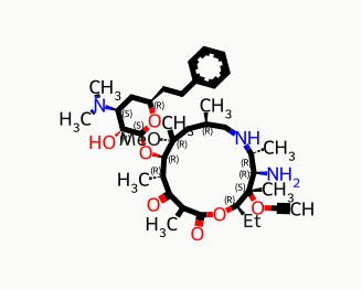 C#CO[C@@]1(C)[C@H](N)[C@@H](C)NC[C@H](C)C[C@@](C)(OC)[C@H](O[C@@H]2O[C@H](CCc3ccccc3)C[C@H](N(C)C)[C@H]2O)[C@@H](C)C(=O)C(C)C(=O)O[C@@H]1CC